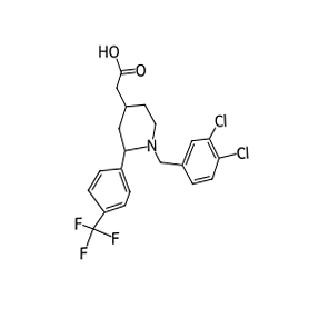 O=C(O)CC1CCN(Cc2ccc(Cl)c(Cl)c2)C(c2ccc(C(F)(F)F)cc2)C1